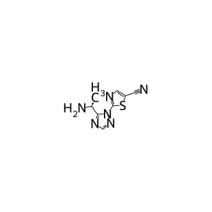 C[C@H](N)c1ncnn1-c1ncc(C#N)s1